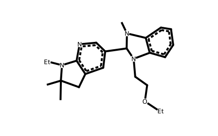 CCOCCN1c2ccccc2N(C)C1c1cnc2c(c1)CC(C)(C)N2CC